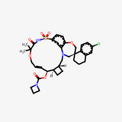 CC1(C)OC/C=C/[C@H](OC(=O)N2CCC2)[C@@H]2CC[C@H]2CN2C[C@@]3(CCCc4cc(Cl)ccc43)COc3ccc(cc32)S(=O)(=O)NC1=O